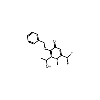 CC(O)c1c(OCc2ccccc2)c(=O)cc(C(F)F)n1C